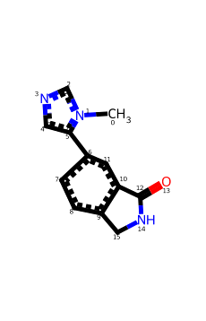 Cn1cncc1-c1ccc2c(c1)C(=O)NC2